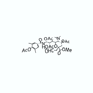 COC(=O)[C@@]1(CC=O)C[C@H](OC(C)=O)[C@@H](N(C)C)[C@H]([C@H](OC(C)=O)[C@@H](CNC(=O)c2cc(C)c(OC(C)=O)c(C)c2)OC(C)=O)O1